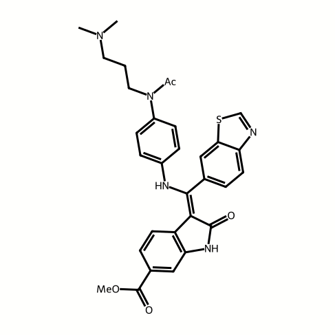 COC(=O)c1ccc2c(c1)NC(=O)C2=C(Nc1ccc(N(CCCN(C)C)C(C)=O)cc1)c1ccc2ncsc2c1